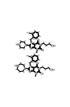 Cn1c(=O)n(CCCO)c(=O)c2c1nc(N1CCCNCC1)n2Cc1ccccc1I.Cn1c(=O)n(CCCO)c(=O)c2c1nc(N1CCNCC1)n2Cc1ccccc1I